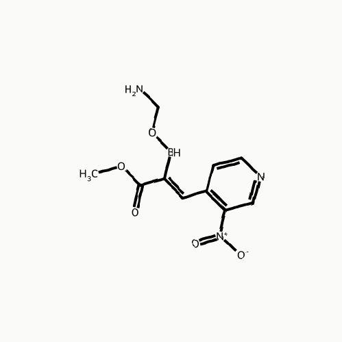 COC(=O)/C(BOCN)=C/c1ccncc1[N+](=O)[O-]